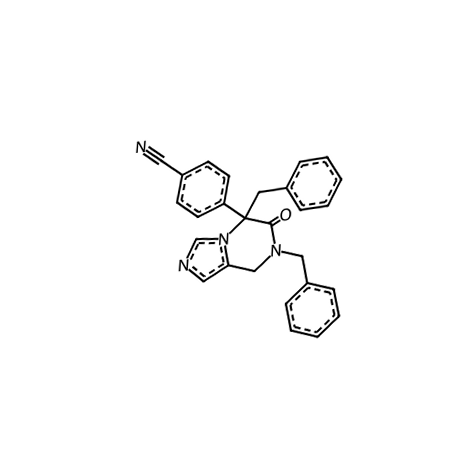 N#Cc1ccc(C2(Cc3ccccc3)C(=O)N(Cc3ccccc3)Cc3cncn32)cc1